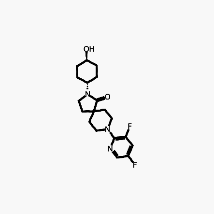 O=C1N([C@H]2CC[C@H](O)CC2)CCC12CCN(c1ncc(F)cc1F)CC2